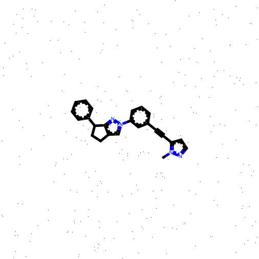 Cn1nccc1C#Cc1cccc(-n2cc3c(n2)C(c2ccccc2)CC3)c1